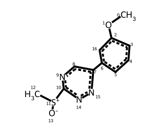 COc1cccc(-c2cnc([S+](C)[O-])nn2)c1